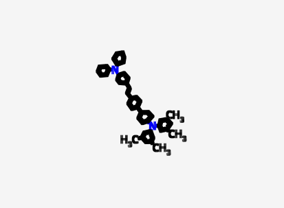 Cc1cc(C)cc(N(c2ccc(-c3ccc(/C=C/c4ccc(N(c5ccccc5)c5ccccc5)cc4)cc3)cc2)c2cc(C)cc(C)c2)c1